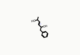 CC(O)/C=C/C(O)Cc1ccccc1